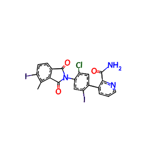 Cc1c(I)ccc2c1C(=O)N(c1cc(I)c(-c3cccnc3C(N)=O)cc1Cl)C2=O